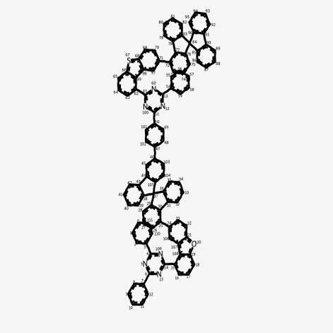 c1ccc(-c2nc(-c3ccccc3)nc(-c3cccc4oc5ccc(-c6cccc7c6-c6ccccc6C76c7ccccc7-c7cc(-c8ccc(-c9nc(-c%10ccccc%10)nc(-c%10cccc%11sc%12ccc(-c%13cccc%14c%13-c%13ccccc%13C%14%13c%14ccccc%14-c%14ccccc%14%13)cc%12c%10%11)n9)cc8)ccc76)cc5c34)n2)cc1